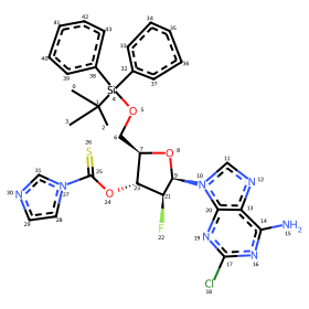 CC(C)(C)[Si](OC[C@H]1O[C@@H](n2cnc3c(N)nc(Cl)nc32)[C@@H](F)[C@@H]1OC(=S)n1ccnc1)(c1ccccc1)c1ccccc1